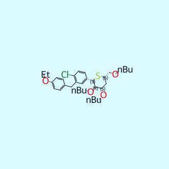 CCCCOC[C@@H]1C[C@H](OCCCC)[C@@H](OCCCC)[C@H](c2ccc(Cl)c(Cc3ccc(OCC)cc3)c2)S1